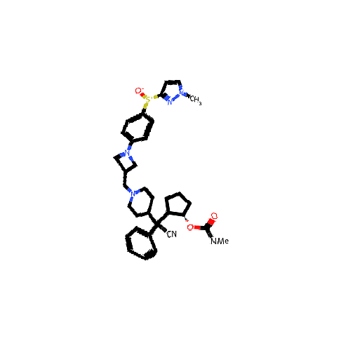 CNC(=O)O[C@H]1CCCC1C(C#N)(c1ccccc1)C1CCN(CC2CN(c3ccc([S+]([O-])c4ccn(C)n4)cc3)C2)CC1